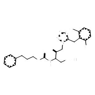 O=C(O)CC(NC(=O)SCCCc1ccccc1)C(=O)Cn1nnnc1Cc1c(Cl)cccc1Cl